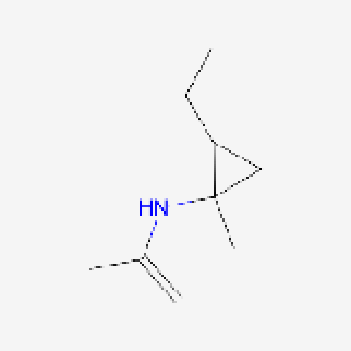 C=C(C)NC1(C)CC1CC